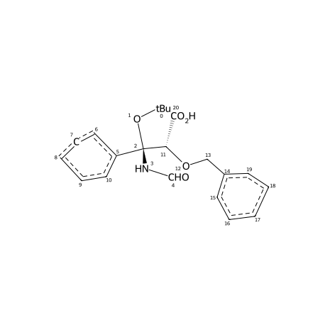 CC(C)(C)O[C@@](NC=O)(c1ccccc1)[C@@H](OCc1ccccc1)C(=O)O